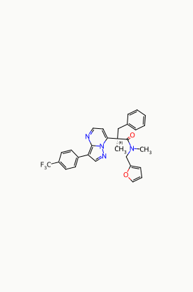 CN(Cc1ccco1)C(=O)[C@](C)(Cc1ccccc1)c1ccnc2c(-c3ccc(C(F)(F)F)cc3)cnn12